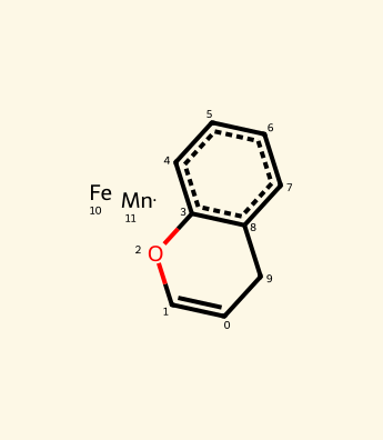 C1=COc2ccccc2C1.[Fe].[Mn]